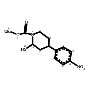 CC(C)(C)OC(=O)N1CCC(c2ccc([N+](=O)[O-])cc2)CC1S